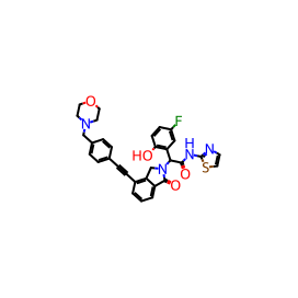 O=C(Nc1nccs1)C(c1cc(F)ccc1O)N1Cc2c(C#Cc3ccc(CN4CCOCC4)cc3)cccc2C1=O